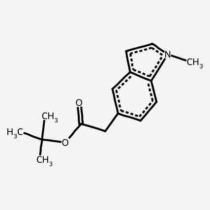 Cn1ccc2cc(CC(=O)OC(C)(C)C)ccc21